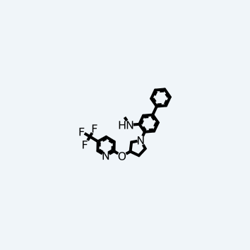 CNc1cc(-c2ccccc2)ccc1N1CCC(Oc2ccc(C(F)(F)F)cn2)C1